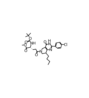 CCCCC1CN(C(=O)CC[C@@H](NC(=O)OC(C)(C)C)C(=O)OC)Cc2c1nc(-c1ccc(Cl)cc1)[nH]c2=O